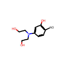 O=Nc1ccc(N(CCO)CCO)cc1O